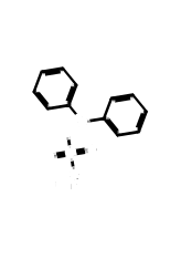 O=S(=O)([O-])[O-].[Ca+2].c1ccc(Oc2ccccc2)cc1